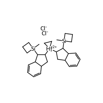 C[Si]1(C2C3C=CC=CC3C[CH]2[Hf+2]2([CH]3CC4C=CC=CC4C3[Si]3(C)CCC3)[CH2][CH2]2)CCC1.[Cl-].[Cl-]